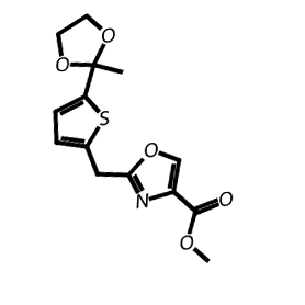 COC(=O)c1coc(Cc2ccc(C3(C)OCCO3)s2)n1